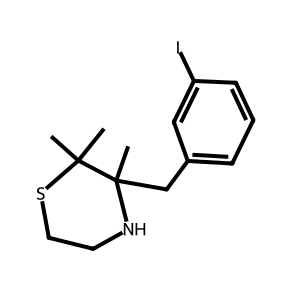 CC1(Cc2cccc(I)c2)NCCSC1(C)C